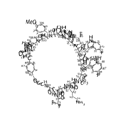 COc1ccc(C[C@@H]2NC(=O)[C@H]([C@@H](C)O)NC(=O)[C@@H]3C[C@H](F)CN3C(=O)[C@H](Cc3c[nH]c4ccc(F)cc34)NC(=O)[C@H](Cc3c[nH]c4ccc(F)cc34)NC(=O)[C@@H](C)NC(=O)[C@H](CCCCN)NC(=O)[C@@H](NC(=O)C(F)F)CC(=O)NCCOc3ccc(cc3)C[C@@H](C(N)=O)NC(=O)[C@]3(C)CCCN3C2=O)cc1